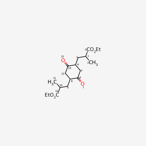 CCOC(=O)C(C)CC1CC(=O)C(CC(C)C(=O)OCC)CC1=O